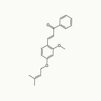 COc1cc(OCC=C(C)C)ccc1/C=C/C(=O)c1ccccc1